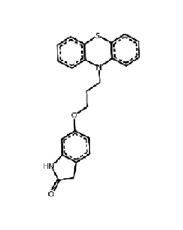 O=C1Cc2ccc(OCCCN3c4ccccc4Sc4ccccc43)cc2N1